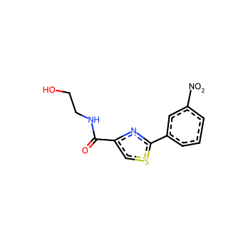 O=C(NCCO)c1csc(-c2cccc([N+](=O)[O-])c2)n1